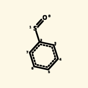 O=[S+]c1[c]cccc1